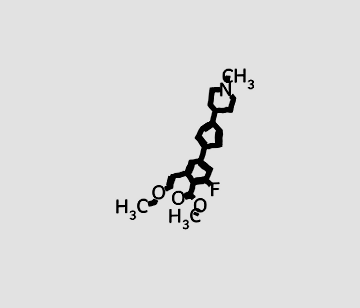 CCO/C=C/c1cc(-c2ccc(C3CCN(C)CC3)cc2)cc(F)c1C(=O)OC